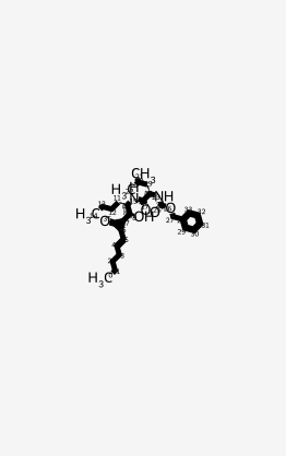 CCCCC=Cc1c([C@H](O)[C@H](CCCC)NC(=O)[C@H](CC(C)C)NC(=O)OCc2ccccc2)c1=O